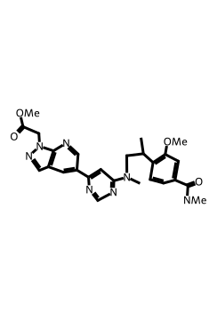 CNC(=O)c1ccc(C(C)CN(C)c2cc(-c3cnc4c(cnn4CC(=O)OC)c3)ncn2)c(OC)c1